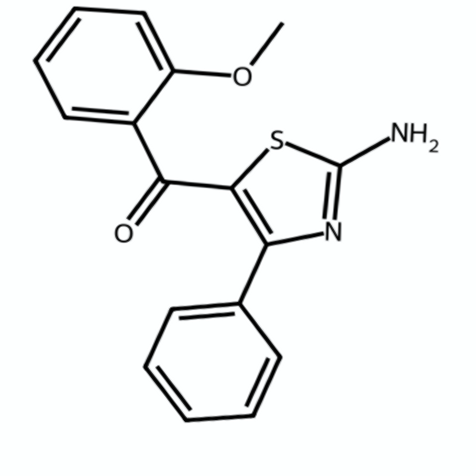 COc1ccccc1C(=O)c1sc(N)nc1-c1ccccc1